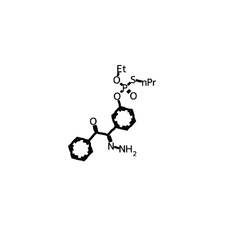 CCCSP(=O)(OCC)Oc1cccc(/C(=N\N)C(=O)c2ccccc2)c1